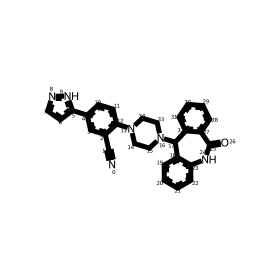 N#Cc1cc(-c2ccn[nH]2)ccc1N1CCN(C2c3ccccc3NC(=O)c3ccccc32)CC1